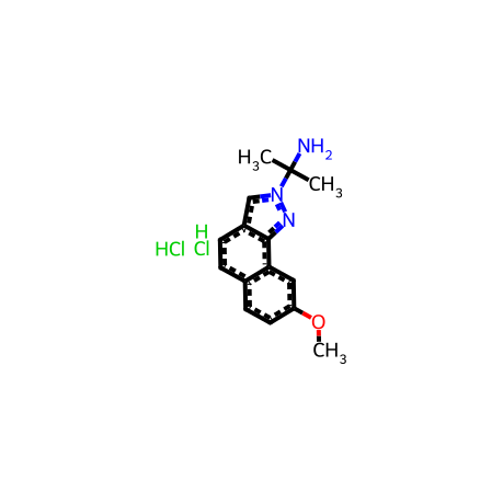 COc1ccc2ccc3cn(C(C)(C)N)nc3c2c1.Cl.Cl